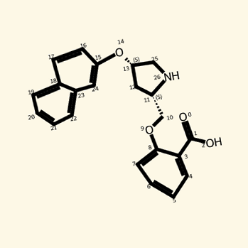 O=C(O)c1ccccc1OC[C@@H]1C[C@H](Oc2ccc3ccccc3c2)CN1